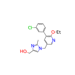 CCOc1ncc(Cn2cc(CO)nc2C)cc1-c1cccc(Cl)c1